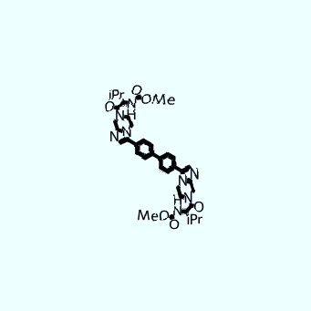 COC(=O)N[C@H](C(=O)N1CCn2c(-c3ccc(-c4ccc(-c5cnc6n5CCN(C(=O)[C@@H](NC(=O)OC)C(C)C)C6)cc4)cc3)cnc2C1)C(C)C